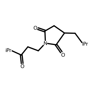 CC(C)CC1CC(=O)N(CCC(=O)C(C)C)C1=O